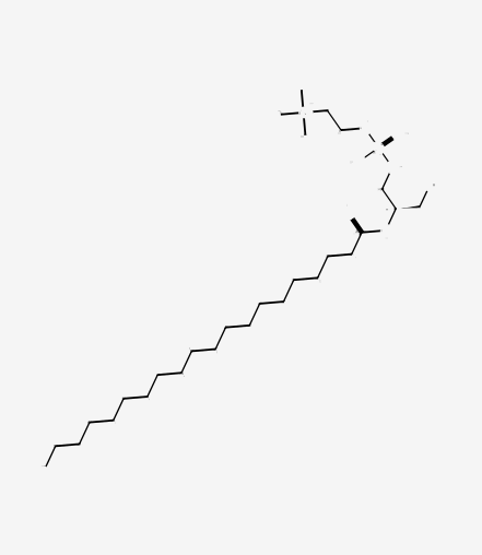 CCCCCCCCCCCCCCCCCCCC(=O)O[C@H](CO)COP(=O)([O-])OCC[N+](C)(C)C